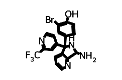 NC1NC(c2ccnc(C(F)(F)F)c2)(c2ccc(O)c(Br)c2)c2cccnc21